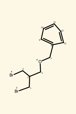 BrCC(CBr)COCc1ccccc1